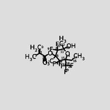 C=C(C)C(=O)OC1(C)C(F)(F)C(C)(O)OC(CC)(C(F)(F)F)C1(F)F